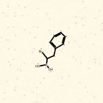 OB(O)C(Br)Cc1ccccc1